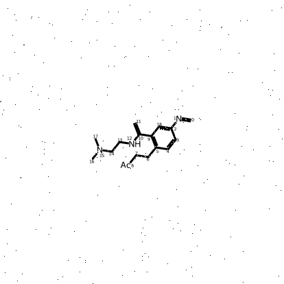 C=Nc1ccc(CCC(C)=O)c(C(=C)NCCN(C)C)c1